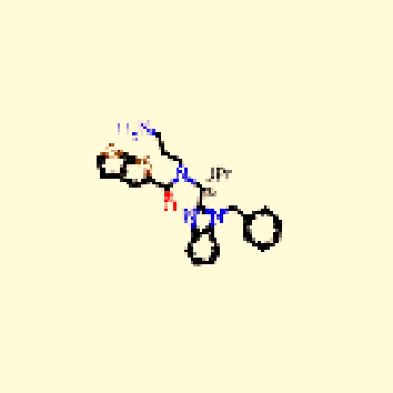 CC(C)[C@H](c1nc2ccccc2n1Cc1ccccc1)N(CCCN)C(=O)c1cc2ccsc2s1